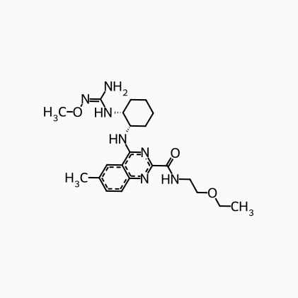 CCOCCNC(=O)c1nc(N[C@H]2CCCC[C@H]2N/C(N)=N\OC)c2cc(C)ccc2n1